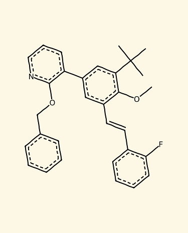 COc1c(/C=C/c2ccccc2F)cc(-c2cccnc2OCc2ccccc2)cc1C(C)(C)C